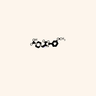 COc1cccc(C2=N/C(=C/N3CCN(C(=O)O)CC3)C(=O)O2)c1